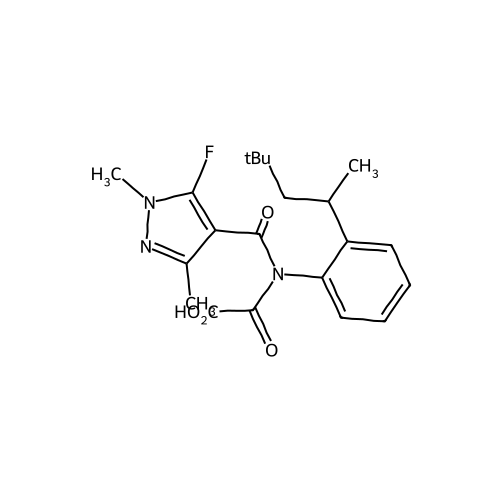 Cc1nn(C)c(F)c1C(=O)N(C(=O)C(=O)O)c1ccccc1C(C)CC(C)(C)C